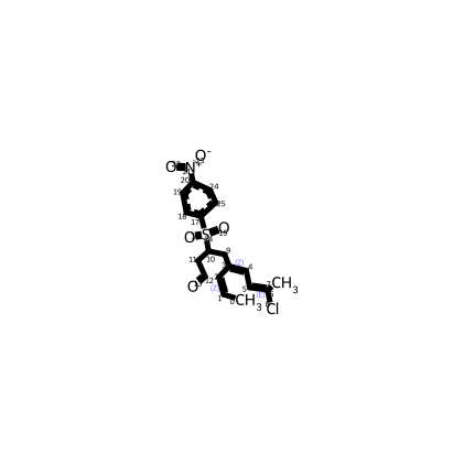 C\C=C/C(=C\C=C(/C)Cl)CC(CC=O)S(=O)(=O)c1ccc([N+](=O)[O-])cc1